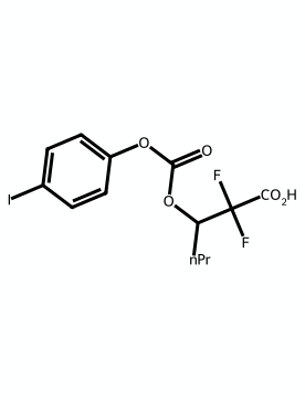 CCCC(OC(=O)Oc1ccc(I)cc1)C(F)(F)C(=O)O